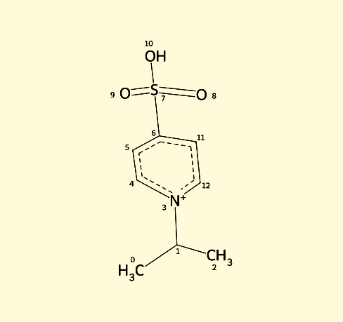 CC(C)[n+]1ccc(S(=O)(=O)O)cc1